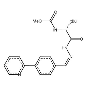 COC(=O)N[C@@H](C(=O)N/N=C\c1ccc(-c2ccccn2)cc1)C(C)(C)C